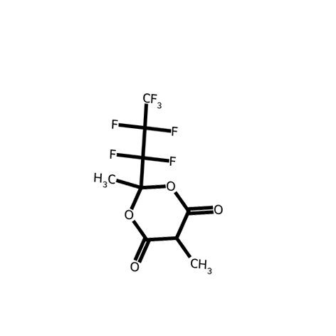 CC1C(=O)OC(C)(C(F)(F)C(F)(F)C(F)(F)F)OC1=O